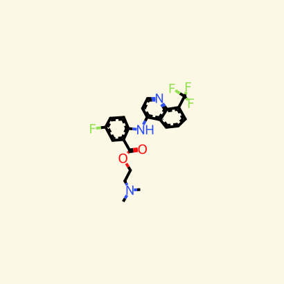 CN(C)CCOC(=O)c1cc(F)ccc1Nc1ccnc2c(C(F)(F)F)cccc12